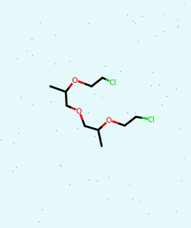 CC(COCC(C)OCCCl)OCCCl